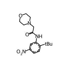 CC(C)(C)c1ccc([N+](=O)[O-])cc1NC(=O)CN1CCOCC1